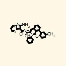 Cc1cccc(-c2cccc3cc([C@H](C)NC(=O)c4c(N)nn5cccnc45)n(-c4ccccc4)c(=O)c23)c1